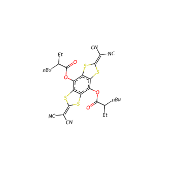 [C-]#[N+]C([N+]#[C-])=C1Sc2c(OC(=O)C(CC)CCCC)c3c(c(OC(=O)C(CC)CCCC)c2S1)SC(=C(C#N)C#N)S3